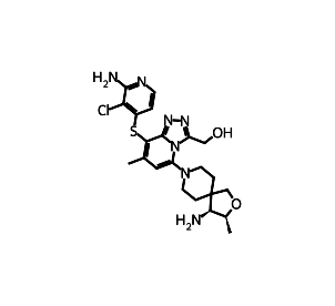 Cc1cc(N2CCC3(CC2)CO[C@@H](C)[C@H]3N)n2c(CO)nnc2c1Sc1ccnc(N)c1Cl